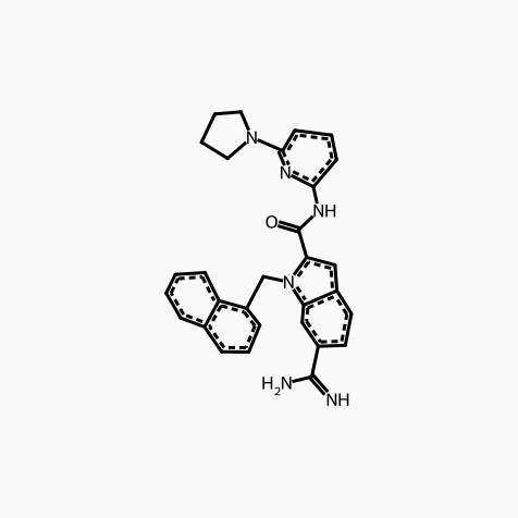 N=C(N)c1ccc2cc(C(=O)Nc3cccc(N4CCCC4)n3)n(Cc3cccc4ccccc34)c2c1